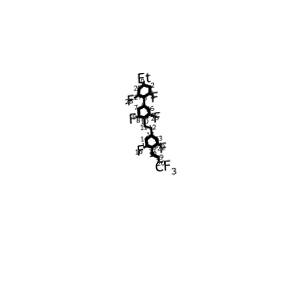 CCc1cc(F)c(-c2cc(F)c(CCc3cc(F)c(/C=C/C(F)(F)F)c(F)c3)c(F)c2)c(F)c1